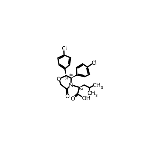 CC(C)C[C@@H](C(=O)O)N1C(=O)CO[C@@H](c2ccc(Cl)cc2)[C@H]1c1ccc(Cl)cc1